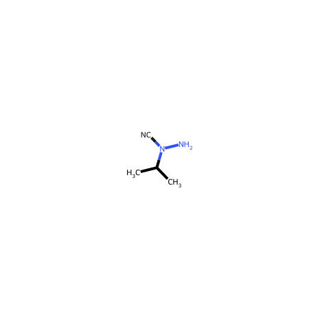 CC(C)N(N)C#N